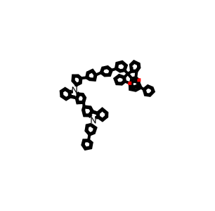 c1ccc(-c2ccc(-c3ccccc3C3(c4cccc(-c5ccc(-c6ccc(-c7cccc(-n8c9ccccc9c9cc(-c%10ccc%11c(c%10)c%10ccccc%10n%11-c%10ccc(-c%11ccccc%11)cc%10)ccc98)c7)cc6)cc5)c4)c4ccccc4-c4ccccc43)cc2)cc1